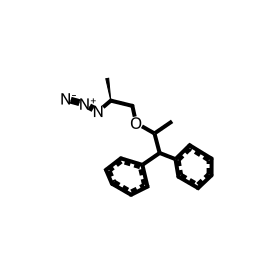 CC(OC[C@H](C)N=[N+]=[N-])C(c1ccccc1)c1ccccc1